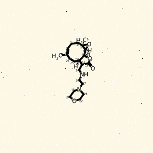 C/C1=C/CC[C@@]2(C)O[C@H]2[C@H]2OC(=O)C(CNCCN3CCOCC3)[C@@H]2CC1